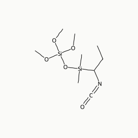 CCC(N=C=O)[Si](C)(C)O[Si](OC)(OC)OC